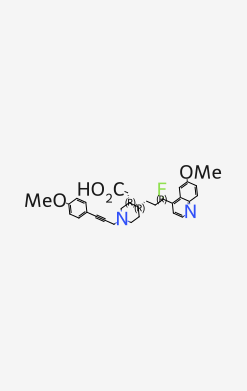 COc1ccc(C#CCN2CC[C@@H](CC[C@@H](F)c3ccnc4ccc(OC)cc34)[C@@H](CC(=O)O)C2)cc1